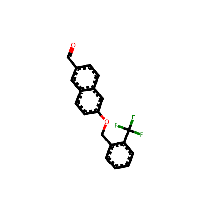 O=Cc1ccc2cc(OCc3ccccc3C(F)(F)F)ccc2c1